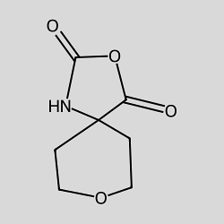 O=C1NC2(CCOCC2)C(=O)O1